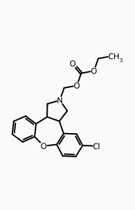 CCOC(=O)OCN1CC2c3ccccc3Oc3ccc(Cl)cc3C2C1